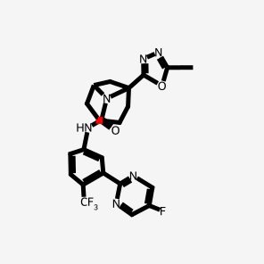 Cc1nnc(C23CCCCC(C2)N3C(=O)Nc2ccc(C(F)(F)F)c(-c3ncc(F)cn3)c2)o1